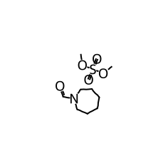 COS(=O)(=O)OC.O=CN1CCCCCC1